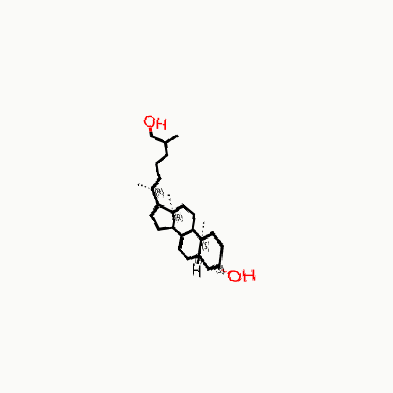 CC(CO)CCC[C@@H](C)C1CCC2C3=CC[C@H]4C[C@@H](O)CC[C@]4(C)C3CC[C@@]21C